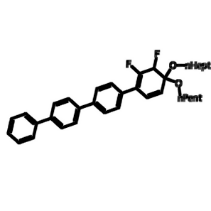 CCCCCCCOC1(OCCCCC)C=CC(c2ccc(-c3ccc(-c4ccccc4)cc3)cc2)=C(F)C1F